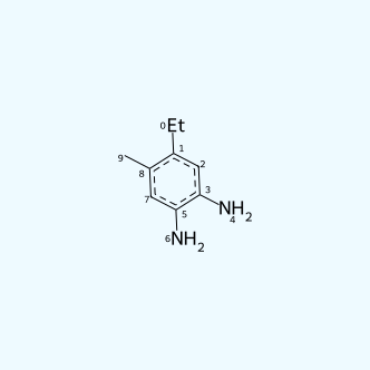 CCc1cc(N)c(N)cc1C